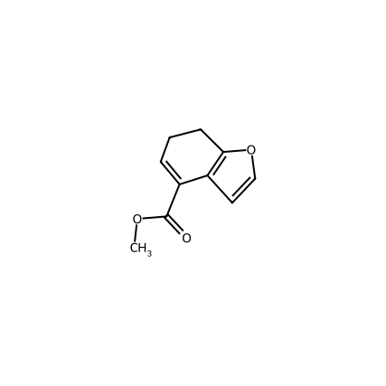 COC(=O)C1=CCCc2occc21